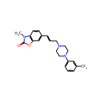 Cn1c(=O)oc2cc(C=CCN3CCN(c4cccc(C(F)(F)F)c4)CC3)ccc21